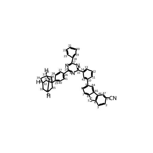 N#Cc1ccc2sc3ccc(-c4cccc(-c5nc(-c6ccccc6)nc(-c6ccc(C78C[C@H]9C[C@H](C7)C[C@@H](C8)C9)cc6)n5)c4)cc3c2c1